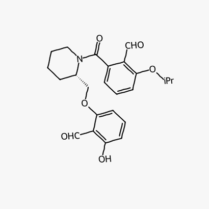 CC(C)Oc1cccc(C(=O)N2CCCC[C@H]2COc2cccc(O)c2C=O)c1C=O